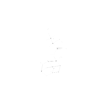 CCC(C)(C(=O)OC1(C)C2CC3CC(C2)CC1C3)C(F)(F)F